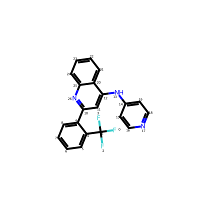 FC(F)(F)c1ccccc1-c1cc(Nc2ccncc2)c2ccccc2n1